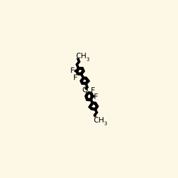 CCCCc1ccc(-c2ccc(COc3ccc(-c4ccc(CCC)cc4)c(F)c3F)cc2)c(F)c1F